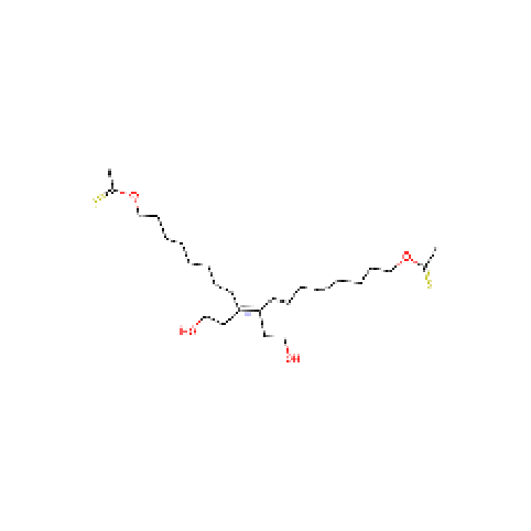 CC(=S)OCCCCCCCC/C(CCO)=C(/CCO)CCCCCCCCOC(C)=S